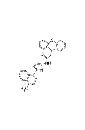 Cc1ccc(-c2csc(NC(=O)CC3c4ccccc4Sc4ccccc43)n2)c2ccccc12